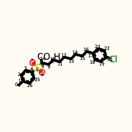 Cc1ccc(S(=O)(=O)C(CCCCCCCCc2ccc(Cl)cc2)C(=O)O)cc1